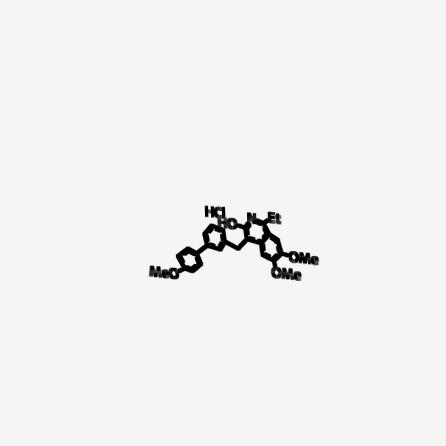 CCc1nc(O)c(Cc2cccc(-c3ccc(OC)cc3)c2)c2cc(OC)c(OC)cc12.Cl